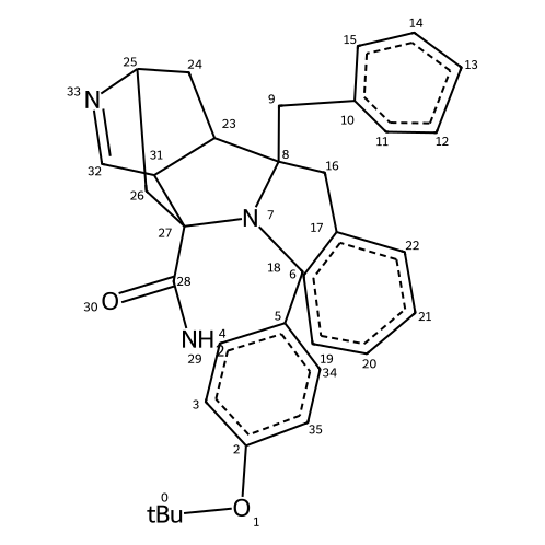 CC(C)(C)Oc1ccc(CN2C(Cc3ccccc3)(Cc3ccccc3)C3CC4CC2(C(N)=O)C3C=N4)cc1